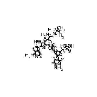 CC(C)(C)SSC[C@H](N)C(=O)O[C@H]1[C@@H](O)[C@H](n2cnc3c(N)ncnc32)O[C@@H]1COP(=O)(O)O[C@H]1C[C@H](n2ccc(N)nc2=O)O[C@@H]1COP(=O)(O)O